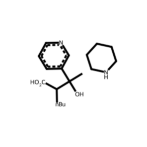 C1CCNCC1.CCCCC(C(=O)O)C(C)(O)c1cccnc1